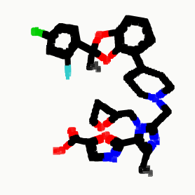 Cc1nc(CN2CCC(c3cccc4c3OC(C)(c3ccc(Cl)cc3F)O4)CC2)n(CC2CCO2)c1-c1ncc(C(=O)O)o1